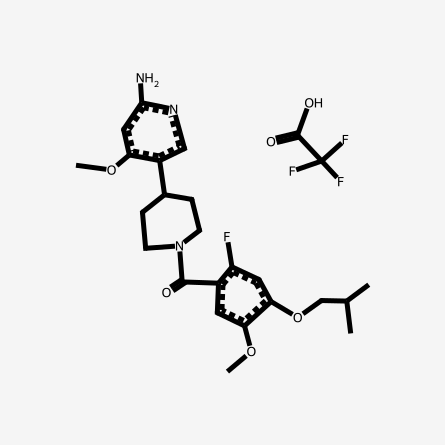 COc1cc(C(=O)N2CCC(c3cnc(N)cc3OC)CC2)c(F)cc1OCC(C)C.O=C(O)C(F)(F)F